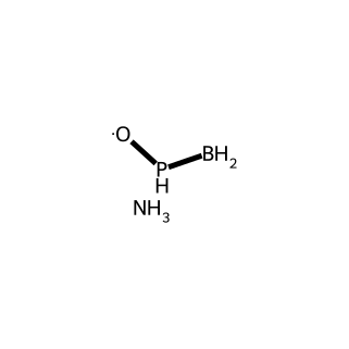 BP[O].N